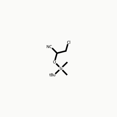 CC(C)(C)[Si](C)(C)OC(C#N)CCl